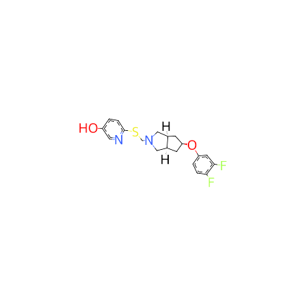 Oc1ccc(SCN2C[C@H]3C[C@@H](Oc4ccc(F)c(F)c4)C[C@H]3C2)nc1